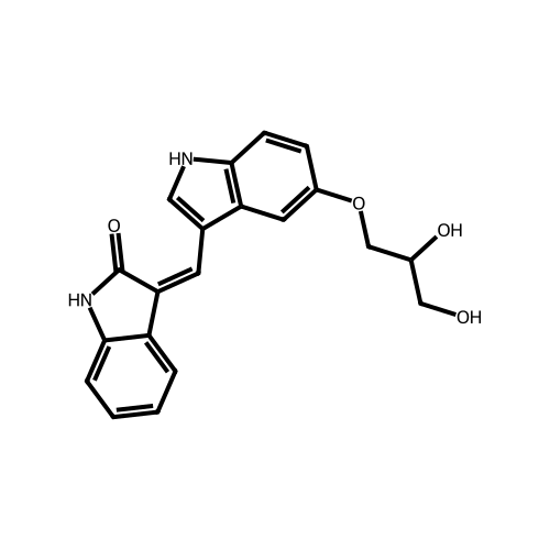 O=C1Nc2ccccc2C1=Cc1c[nH]c2ccc(OCC(O)CO)cc12